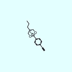 C#Cc1ccc(C23OCC(CCC)(CO2)CO3)cc1